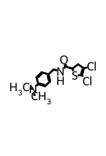 CN(C)c1ccc(CNC(=O)C2CC(Cl)=C(Cl)S2)cc1